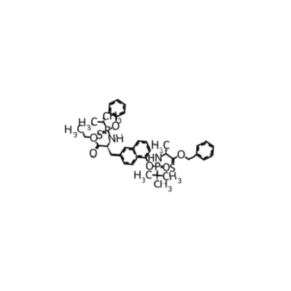 CCOC(=O)[C@H](Cc1ccc2c(OP(=O)(N[C@@H](C)C(=S)OCc3ccccc3)C(C)(C)C)cccc2c1)NP(=S)(Oc1ccccc1)C(C)C